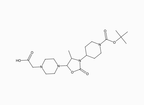 CC1C(N2CCN(CC(=O)O)CC2)OC(=O)N1C1CCN(C(=O)OC(C)(C)C)CC1